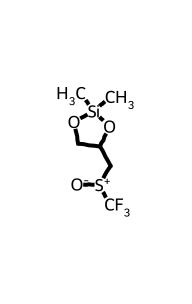 C[Si]1(C)OCC(C[S+]([O-])C(F)(F)F)O1